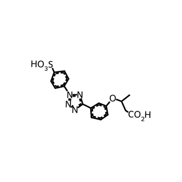 CC(CC(=O)O)Oc1cccc(-c2nnn(-c3ccc(S(=O)(=O)O)cc3)n2)c1